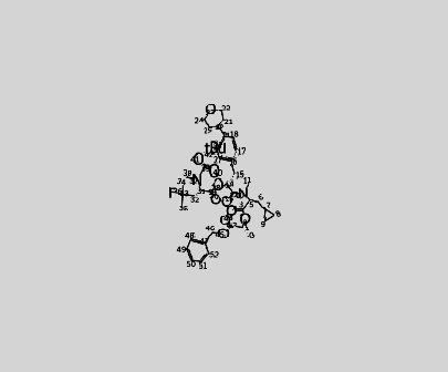 C[C@@H](OC(=O)[C@H](CC1CC1)N(C)C(=O)[C@@H](Cc1ccc(C2CCOCC2)cc1)OC(=O)[C@H](CC(C)(C)F)N(C)C(=O)OC(C)(C)C)C(=O)OCc1ccccc1